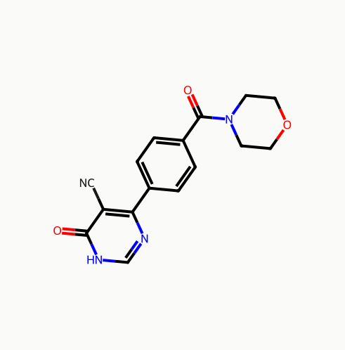 N#Cc1c(-c2ccc(C(=O)N3CCOCC3)cc2)nc[nH]c1=O